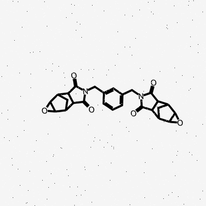 O=C1C2C3CC(C4OC34)C2C(=O)N1Cc1cccc(CN2C(=O)C3C4CC(C5OC45)C3C2=O)c1